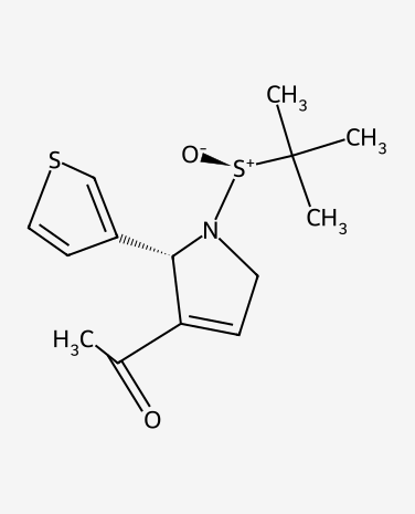 CC(=O)C1=CCN([S@@+]([O-])C(C)(C)C)[C@H]1c1ccsc1